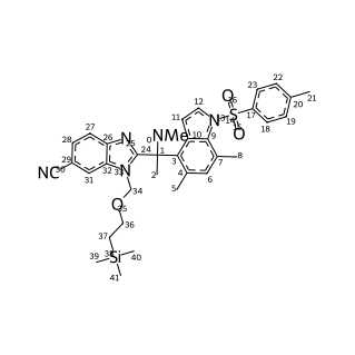 CNC(C)(c1c(C)cc(C)c2c1ccn2S(=O)(=O)c1ccc(C)cc1)c1nc2ccc(C#N)cc2n1COCC[Si](C)(C)C